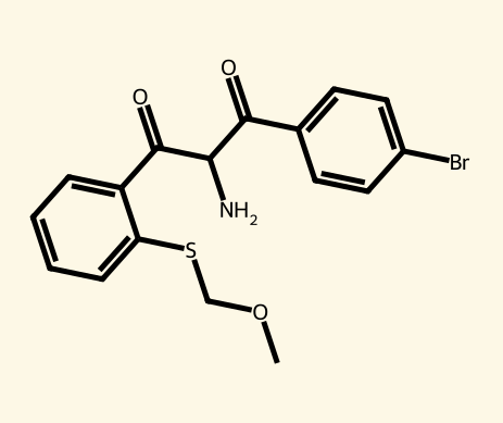 COCSc1ccccc1C(=O)C(N)C(=O)c1ccc(Br)cc1